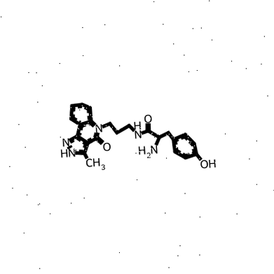 Cc1[nH]nc2c1c(=O)n(CCCNC(=O)C(N)Cc1ccc(O)cc1)c1ccccc21